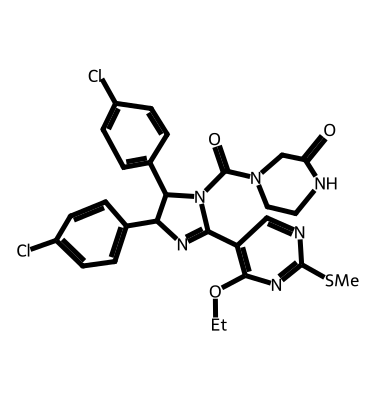 CCOc1nc(SC)ncc1C1=NC(c2ccc(Cl)cc2)C(c2ccc(Cl)cc2)N1C(=O)N1CCNC(=O)C1